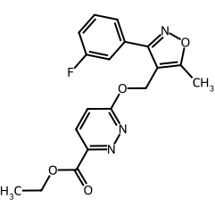 CCOC(=O)c1ccc(OCc2c(-c3cccc(F)c3)noc2C)nn1